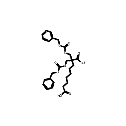 O=C(O)CCCCCCC(COC(=O)OCc1ccccc1)(COC(=O)OCc1ccccc1)C(=O)O